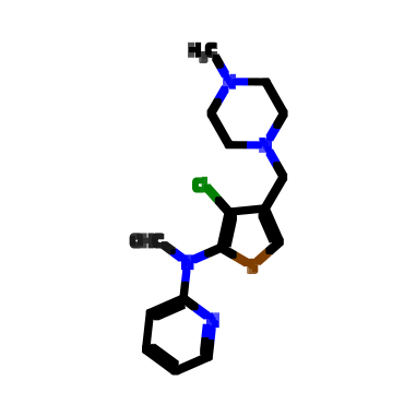 CN1CCN(Cc2csc(N(C=O)c3ccccn3)c2Cl)CC1